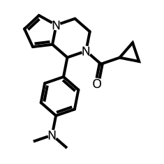 CN(C)c1ccc(C2c3cccn3CCN2C(=O)C2CC2)cc1